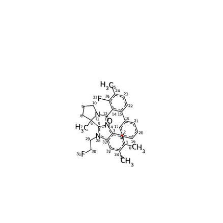 Cc1cc2nc(C3(C)CCCN3C(=O)c3c(-c4ccccc4)ccc(C)c3F)n(CCF)c2cc1C